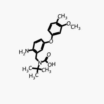 COc1cc(Oc2ccc(N)c(CN(C(=O)O)C(C)(C)C)c2)ccc1C